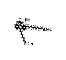 CCCCCCCCCCCCCCCCCCCc1cccc(N=C(C)C(CC)=Nc2cccc(CCCCCCCCCCCCCCCCCCC)c2)c1.[Pd]